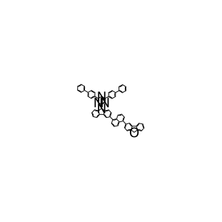 c1ccc(-c2ccc(-c3nc(-c4ccc(-c5ccccc5)cc4)nc(-n4c5ccccc5c5cc(-c6cccc7c(-c8ccc9oc%10ccccc%10c9c8)cccc67)ccc54)n3)cc2)cc1